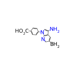 Bc1cnc2c(c1)c(N)cn2-c1ccc(C(=O)O)cc1